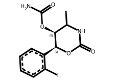 CC1NC(=O)O[C@@H](c2ccccc2I)[C@H]1OC(N)=O